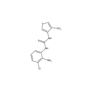 Cc1cscc1NC(=S)Nc1cccc(Cl)c1N